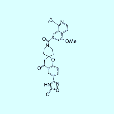 COc1cc(C(=O)N2CCC3(CC2)CC(=O)c2cc(-c4noc(=O)[nH]4)ccc2O3)cc2c(C3CC3)nccc12